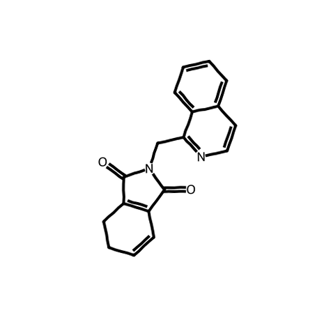 O=C1C2=C(CCC=C2)C(=O)N1Cc1nccc2ccccc12